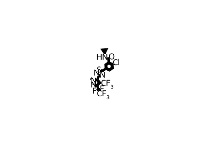 Cn1nc(C(F)(F)C(F)(F)F)c(C(F)(F)F)c1-c1nsc(-c2ccc(Cl)c(C(=O)NC3CC3)c2)n1